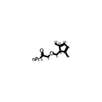 CCCC(=O)COCC1C(C)=CC=C1C